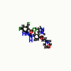 Cn1ncc(Cl)c1-c1cc(NC(=O)Nc2cc(F)cc(F)c2)ccc1OCCN1CCOCC1